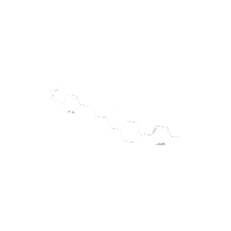 OC(COc1ccc2[nH]ncc2c1)CN1CCN(c2ccc(Cl)cc2)CC1